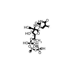 C#CC1(N)[C@@H](O)[C@@H]([C@@H](C)OP(=O)(O)OP(=O)(O)OP(=O)(O)O)O[C@H]1n1cc(F)c(=O)[nH]c1=O